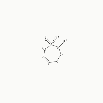 O=S1(=O)OC=CCCC1F